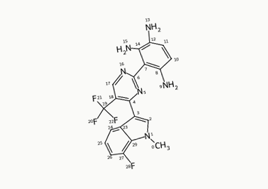 Cn1cc(-c2nc(-c3c(N)ccc(N)c3N)ncc2C(F)(F)F)c2cccc(F)c21